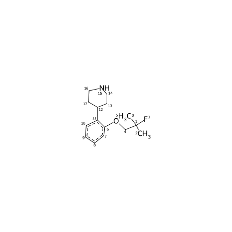 CC(C)(F)COc1ccccc1C1CCNCC1